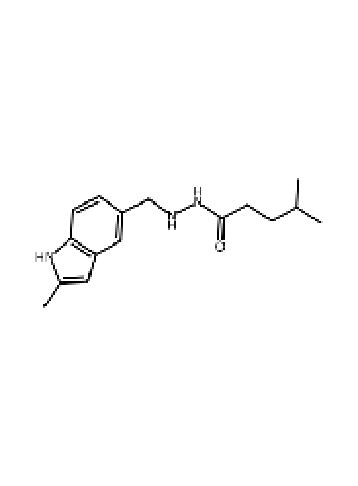 Cc1cc2cc(CNNC(=O)CCC(C)C)ccc2[nH]1